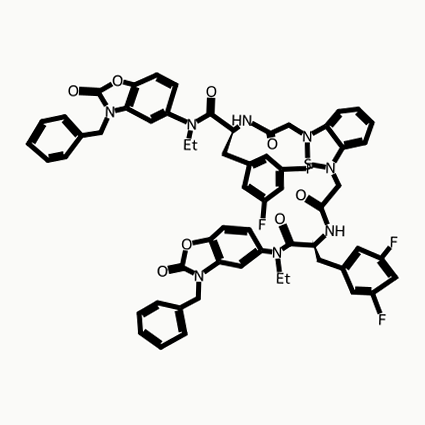 CCN(C(=O)[C@H](Cc1cc(F)cc(F)c1)NC(=O)CN1SN(CC(=O)N[C@@H](Cc2cc(F)cc(F)c2)C(=O)N(CC)c2ccc3oc(=O)n(Cc4ccccc4)c3c2)c2ccccc21)c1ccc2oc(=O)n(Cc3ccccc3)c2c1